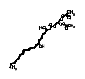 CCCCCCCCCCCCC(O)CCCCC(O)CC(=O)OCC(COOC(C)=O)OOC(C)=O